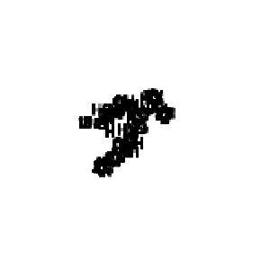 CC(C)(C)OC(=O)N[C@H]1C[C@@H](n2cnc3c(NCC(c4ccccc4)c4ccccc4)nc(C(=O)NCCNC(=O)NC4CCN(c5ccccn5)CC4)nc32)[C@H](O)[C@@H]1O